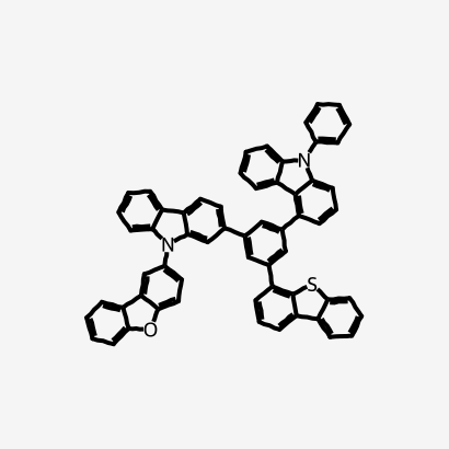 c1ccc(-n2c3ccccc3c3c(-c4cc(-c5ccc6c7ccccc7n(-c7ccc8oc9ccccc9c8c7)c6c5)cc(-c5cccc6c5sc5ccccc56)c4)cccc32)cc1